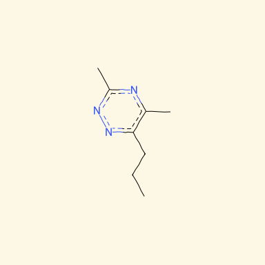 CCCc1nnc(C)nc1C